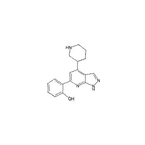 Oc1ccccc1-c1cc(C2CCCNC2)c2cn[nH]c2n1